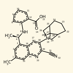 Cc1cc([C@@H](C)Nc2ccccc2C(=O)O)c2nc(N3CC4CCCC(C3)C4(F)F)c(C#N)nc2c1